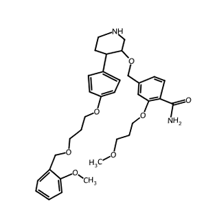 COCCCOc1cc(COC2CNCCC2c2ccc(OCCCOCc3ccccc3OC)cc2)ccc1C(N)=O